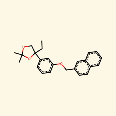 CCC1(c2cccc(OCc3ccc4ccccc4c3)c2)COC(C)(C)O1